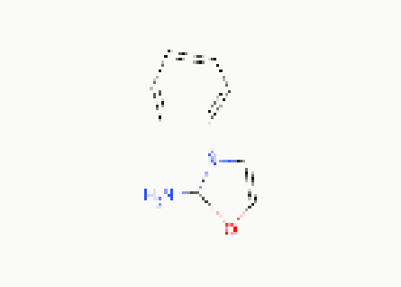 NC1OC=CN1c1ccccc1